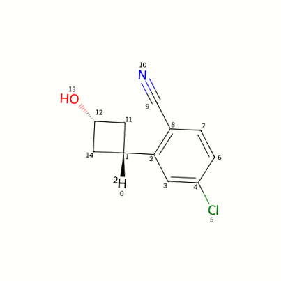 [2H][C@]1(c2cc(Cl)ccc2C#N)C[C@@H](O)C1